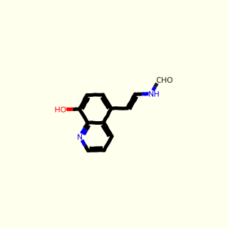 O=CNC=Cc1ccc(O)c2ncccc12